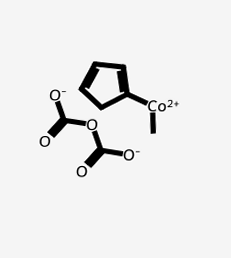 O=C([O-])OC(=O)[O-].[CH3][Co+2][C]1=CC=CC1